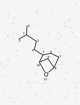 CC(C)CCC1CCC2CC1O2